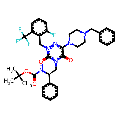 CC(C)(C)OC(=O)N[C@@H](Cn1c(=O)c(N2CCN(Cc3ccccc3)CC2)nn(Cc2c(F)cccc2C(F)(F)F)c1=O)c1ccccc1